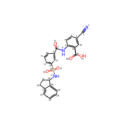 N#Cc1ccc(NC(=O)c2cccc(S(=O)(=O)NC3CCc4ccccc43)c2)c(C(=O)O)c1